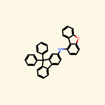 c1ccc(C2(c3ccccc3)c3ccccc3-c3ccc(Nc4cccc5oc6ccccc6c45)cc32)cc1